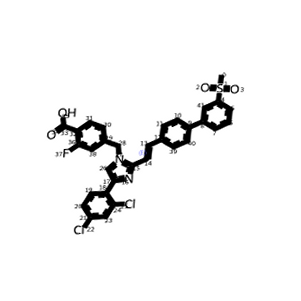 CS(=O)(=O)c1cccc(-c2ccc(/C=C/c3nc(-c4ccc(Cl)cc4Cl)cn3Cc3ccc(C(=O)O)c(F)c3)cc2)c1